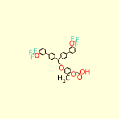 Cc1cc(OCC=C(c2ccc(-c3cccc(OC(F)(F)F)c3)cc2)c2ccc(-c3cccc(OC(F)(F)F)c3)cc2)ccc1OCC(=O)O